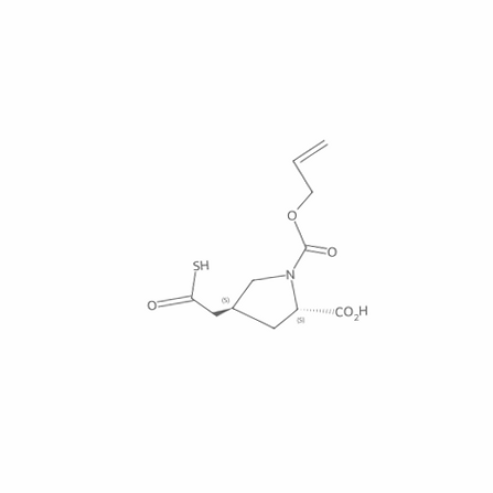 C=CCOC(=O)N1C[C@H](CC(=O)S)C[C@H]1C(=O)O